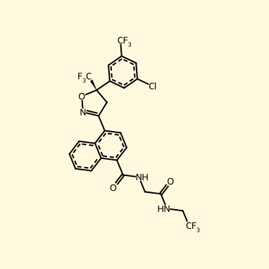 O=C(CNC(=O)c1ccc(C2=NO[C@@](c3cc(Cl)cc(C(F)(F)F)c3)(C(F)(F)F)C2)c2ccccc12)NCC(F)(F)F